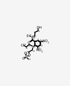 CC[As](CCCO)C(=O)c1cc([N+](=O)[O-])cc([N+](=O)[O-])c1N(CCCl)CCOS(C)(=O)=O